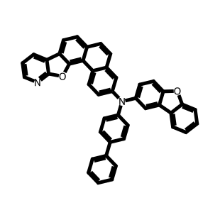 c1ccc(-c2ccc(N(c3ccc4c(ccc5ccc6c7cccnc7oc6c54)c3)c3ccc4oc5ccccc5c4c3)cc2)cc1